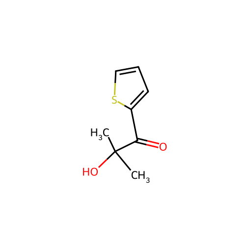 CC(C)(O)C(=O)c1cccs1